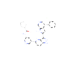 O=C(Nc1cncc(-c2ccc3[nH]nc(-c4cc5c(-c6ccccc6F)cncc5[nH]4)c3n2)c1)C1CCCC1